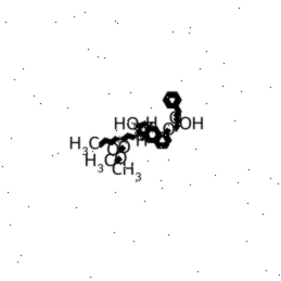 CCCCC[C@@H](CC[C@@H]1[C@H]2Cc3cccc(OCC(O)OCc4ccccc4)c3C[C@H]2C[C@H]1O)OC(=O)OC(C)C